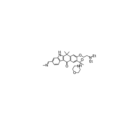 CCN(CC)CCOc1cc2c(cc1[SH](C)(=O)N1CCOCC1)C(=O)c1c([nH]c3cc(/C=N/C)ccc13)C2(C)C